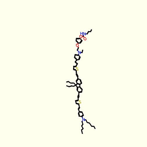 CCCCCCN(CCCCCC)c1ccc(/C=C/c2ccc(C#Cc3ccc4c(c3)C(CCCC)(CCCC)c3cc(C#Cc5ccc(/C=C/c6ccc(N(CC)CCOc7ccc(OC(=O)NCCCC)cc7)cc6)s5)ccc3-4)s2)cc1